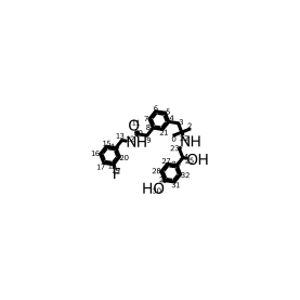 CC(C)(Cc1cccc(CC(=O)NCc2cccc(F)c2)c1)NCC(O)c1ccc(O)cc1